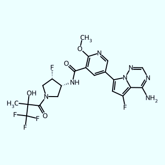 COc1ncc(-c2cc(F)c3c(N)ncnn23)cc1C(=O)N[C@@H]1CN(C(=O)C(C)(O)C(F)(F)F)C[C@@H]1F